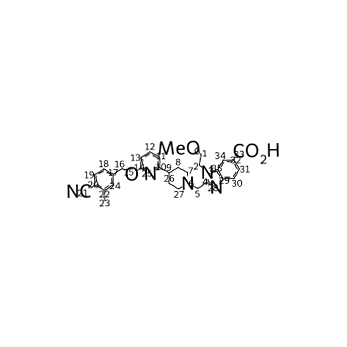 COCCn1c(CN2CCC(c3cccc(OCc4ccc(C#N)c(C)c4)n3)CC2)nc2ccc(C(=O)O)cc21